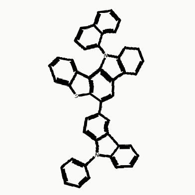 C1=Cc2c(n(-c3cccc4ccccc34)c3c2cc(-c2ccc4c(c2)c2ccccc2n4-c2ccccc2)c2sc4ccccc4c23)CC1